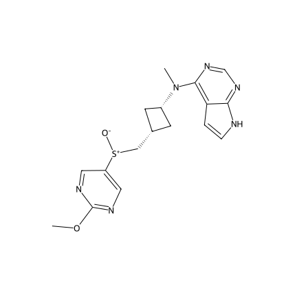 COc1ncc([S+]([O-])C[C@H]2C[C@@H](N(C)c3ncnc4[nH]ccc34)C2)cn1